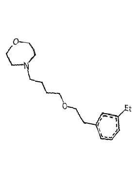 CCc1cccc(CCOCCCCN2CCOCC2)c1